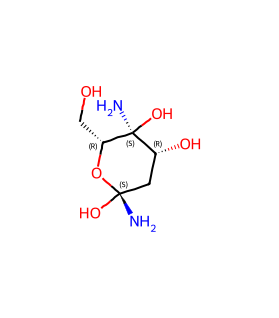 N[C@]1(O)[C@H](O)C[C@](N)(O)O[C@@H]1CO